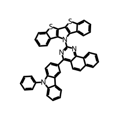 c1ccc(-n2c3ccccc3c3cc(-c4nc(-n5c6c7ccccc7sc6c6sc7ccccc7c65)nc5c4ccc4ccccc45)ccc32)cc1